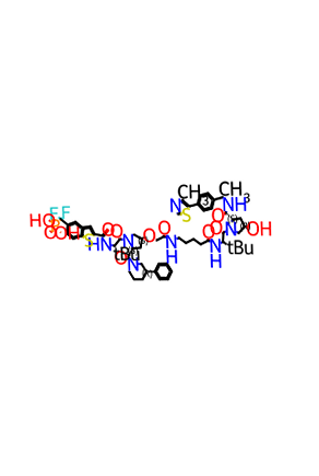 Cc1ncsc1-c1ccc(C(C)NC(=O)[C@@H]2C[C@@H](O)CN2C(=O)C(NC(=O)CCCCNC(=O)CO[C@H]2C[C@@H](C(=O)N3CCC[C@H](c4ccccc4)C3)N(C(=O)C(NC(=O)c3cc4cc(C(F)(F)P(=O)(O)O)ccc4s3)C(C)(C)C)C2)C(C)(C)C)cc1